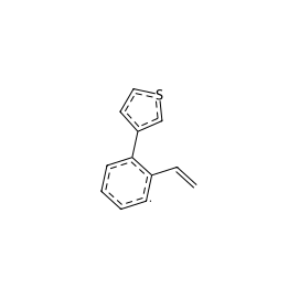 C=Cc1[c]cccc1-c1ccsc1